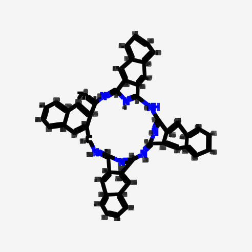 [Zn]=[C]1N=C2N=C(NC3=NC(=NC4=NC(=NCc5cc6ccccc6cc51)c1cc5ccccc5cc14)c1cc4ccccc4cc13)c1cc3ccccc3cc12